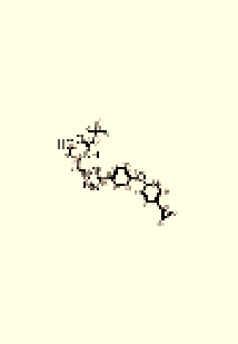 CC(C)(C)OC(=O)N[C@H](CO)Cn1nnc(-c2ccc(Oc3ccc(C4CC4)cn3)cc2)n1